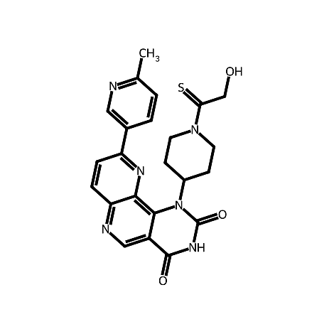 Cc1ccc(-c2ccc3ncc4c(=O)[nH]c(=O)n(C5CCN(C(=S)CO)CC5)c4c3n2)cn1